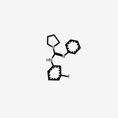 Fc1cccc(NC(=Nc2ccccc2)N2CCCC2)c1